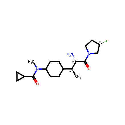 C[C@@H](C1CCC(N(C)C(=O)C2CC2)CC1)[C@H](N)C(=O)N1CC[C@H](F)C1